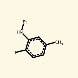 CCNc1cc(C)ccc1I